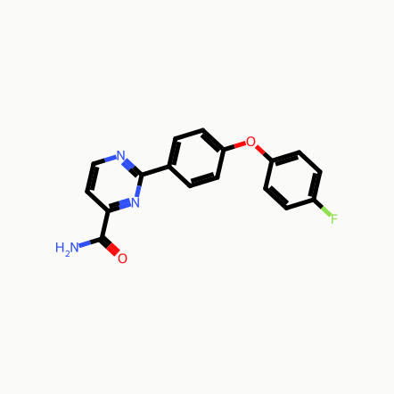 NC(=O)c1ccnc(-c2ccc(Oc3ccc(F)cc3)cc2)n1